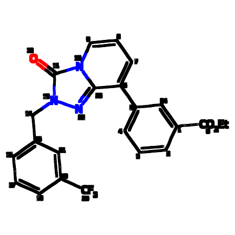 CCOC(=O)c1cccc(-c2cccn3c(=O)n(Cc4cccc(C(F)(F)F)c4)nc23)c1